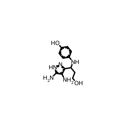 Nc1[nH]nc(C(CCO)Nc2ccc(O)cc2)c1N